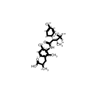 Cc1c(CC(C)C(=O)O)ccc(Cl)c1NC(=O)[C@H](C1C=CC(Cl)=CC1)[C@@H](C)C(F)(F)F